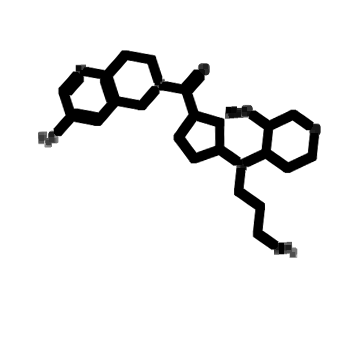 COC1COCCC1N(CCCN)C1CCC(C(=O)N2CCc3ncc(C(F)(F)F)cc3C2)C1